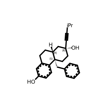 CC(C)C#C[C@@]1(O)CC[C@@]2(Cc3ccccc3)c3ccc(O)cc3CC[C@@H]2C1